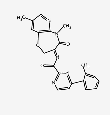 Cc1cnc2c(c1)OC/C(=N\C(=O)c1nccc(-c3ccccc3C)n1)C(=O)N2C